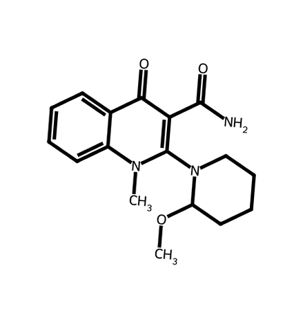 COC1CCCCN1c1c(C(N)=O)c(=O)c2ccccc2n1C